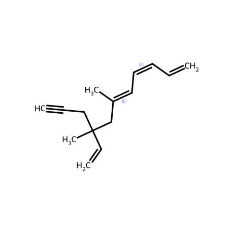 C#CCC(C)(C=C)C/C(C)=C/C=C\C=C